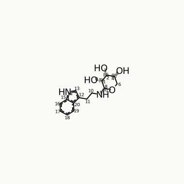 O[C@@H]1[C@H](O)[C@H](O)CO[C@H]1NCCc1c[nH]c2ccccc12